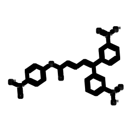 O=C(/C=C/C=C(c1cccc([N+](=O)[O-])c1)c1cccc([N+](=O)[O-])c1)Oc1ccc([N+](=O)[O-])cc1